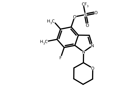 Cc1c(C)c(F)c2c(cnn2C2CCCCO2)c1OS(=O)(=O)C(F)(F)F